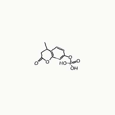 CC1CC(=O)Oc2cc(OP(=O)(O)O)ccc21